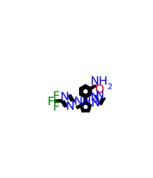 CC1(Nc2cnc(C(F)(F)F)cn2)CCCC1c1cccc(C(N)=O)c1-n1nccn1